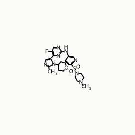 Cc1ncc(-c2nc(Nc3ccc(S(=O)(=O)N4CCN(C)CC4)nc3)ncc2F)n1C1CCOCC1